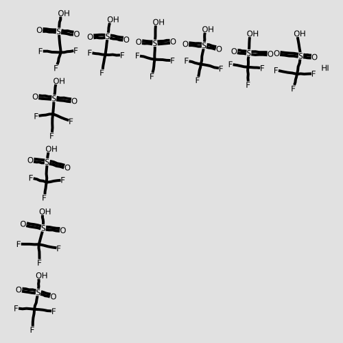 I.O=S(=O)(O)C(F)(F)F.O=S(=O)(O)C(F)(F)F.O=S(=O)(O)C(F)(F)F.O=S(=O)(O)C(F)(F)F.O=S(=O)(O)C(F)(F)F.O=S(=O)(O)C(F)(F)F.O=S(=O)(O)C(F)(F)F.O=S(=O)(O)C(F)(F)F.O=S(=O)(O)C(F)(F)F.O=S(=O)(O)C(F)(F)F